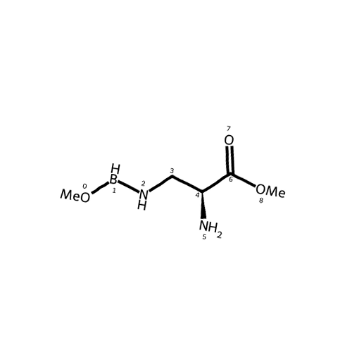 COBNC[C@H](N)C(=O)OC